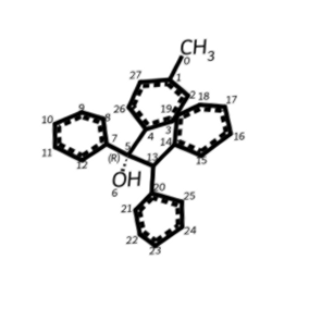 Cc1ccc([C@](O)(c2ccccc2)C(c2ccccc2)c2ccccc2)cc1